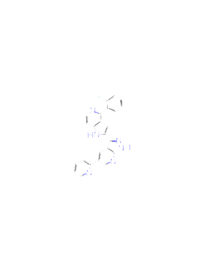 Fc1ccccc1-c1nccc2[nH]c(-c3n[nH]c4ncc(-c5ccccn5)cc34)cc12